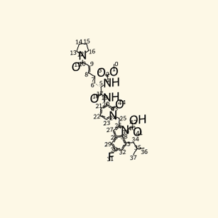 COC(=O)N[C@@H](CC/C=C/C(=O)N1CCCC1)C(=O)Nc1cccn(Cc2cc3cc(F)cc(CC(C)C)c3n2C(=O)O)c1=O